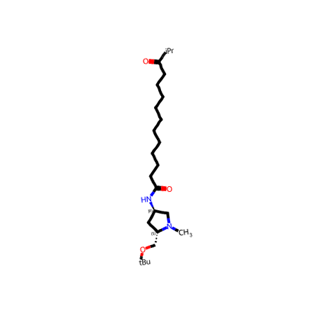 CC(C)C(=O)CCCCCCCCCCC(=O)N[C@@H]1C[C@@H](COC(C)(C)C)N(C)C1